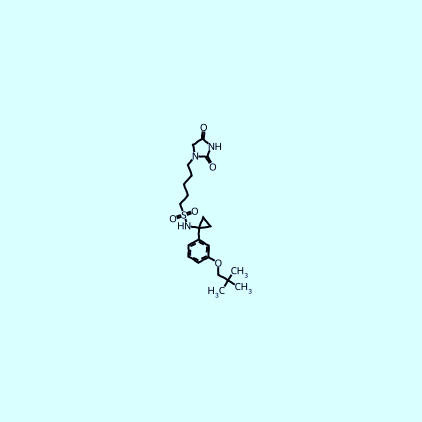 CC(C)(C)COc1cccc(C2(NS(=O)(=O)CCCCCN3CC(=O)NC3=O)CC2)c1